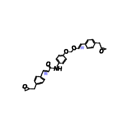 O=C(/C=C/c1ccc(CC2CO2)cc1)Nc1ccc(OCO/C=C/c2ccc(CC3CO3)cc2)cc1